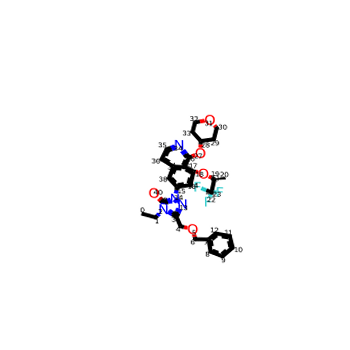 CCn1c(COCc2ccccc2)nn(-c2cc(O[C@@H](C)C(F)(F)F)c3c(OC4CCOCC4)nccc3c2)c1=O